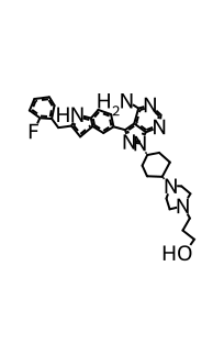 Nc1ncnc2c1c(-c1ccc3[nH]c(Cc4ccccc4F)cc3c1)nn2[C@H]1CC[C@@H](N2CCN(CCCO)CC2)CC1